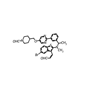 CC(c1cccc(-c2ncc(OCC3CCN(C=O)CC3)cn2)c1)N(C)c1sc2ccc(Br)cc2c1/C=C\C=O